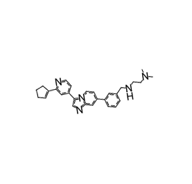 CN(C)CCNCc1cccc(-c2ccn3c(-c4ccnc(C5=CCCC5)c4)cnc3c2)c1